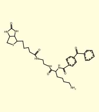 NCCCCC(NC(=O)c1ccc(C(=O)c2ccccc2)cc1)C(=O)NCCNC(=O)CCCCC1SCC2NC(=O)NC21